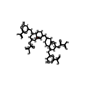 C=C(C)C(=O)OC(CO)CN(CC(CO)OC(=O)C(=C)C)C1CCC(CC2CCC(N(CC(CO)OC(=O)C(=C)C)CC(CO)OC(=O)C(=C)C)CC2)CC1